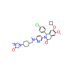 COc1cc2c(cc1OC1CCC1)C(c1ccc(Cl)cc1)N(c1ccc(N(C)CC3CCC(N4CC(=O)N(C)C4)CC3)nc1)C(=O)C2